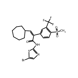 CS(=O)(=O)c1ccc(C(=CC2CCCCCC2)C(=O)Nc2ncc(Br)s2)cc1C(F)(F)F